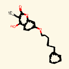 N#Cc1c(O)c2ccc(OCCCCc3ccccc3)cc2oc1=O